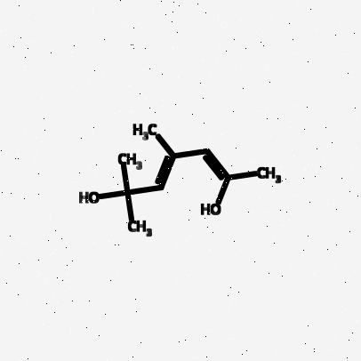 CC(O)=CC(C)=CC(C)(C)O